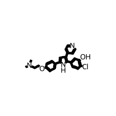 CN(C)CCOc1ccc(-c2cc(-c3ccncc3)c(-c3ccc(Cl)c(O)c3)[nH]2)cc1